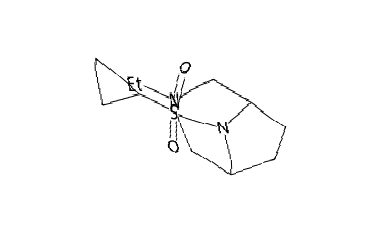 CCN1CC2CCC(C1)N2S(=O)(=O)C1CC1